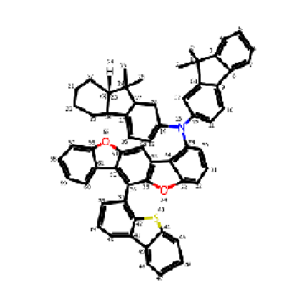 CC1(C)c2ccccc2-c2ccc(N(C3=CC=C4C5CCCC[C@@H]5C(C)(C)C4C3)c3cccc4oc5c(-c6cccc7c6sc6ccccc67)c6c(cc5c34)oc3ccccc36)cc21